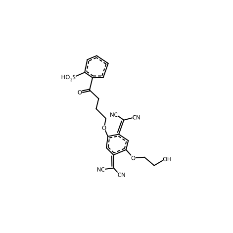 N#CC(C#N)=c1cc(OCCCC(=O)c2ccccc2S(=O)(=O)O)c(=C(C#N)C#N)cc1OCCO